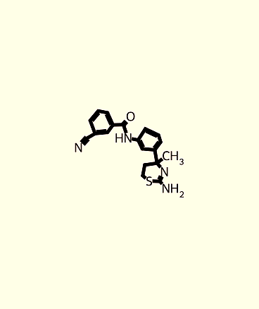 CC1(c2cccc(NC(=O)c3cccc(C#N)c3)c2)CCSC(N)=N1